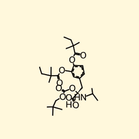 CCC(C)(C)C(=O)Oc1ccc(C[C@](NC(C)C)(OC(=O)OCC(C)(C)C)C(=O)O)cc1OC(=O)C(C)(C)CC